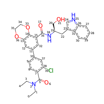 CCN(CC)C(=O)c1ccc(-c2cc3c(c(C(=O)N[C@@H](CO)Cc4c[nH]c5ccccc45)c2)OCCO3)cc1Cl